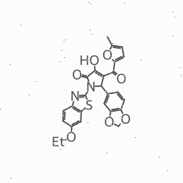 CCOc1ccc2nc(N3C(=O)C(O)=C(C(=O)c4ccc(C)o4)C3c3ccc4c(c3)OCO4)sc2c1